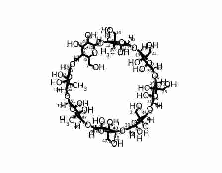 CC1O[C@@H]2O[C@@H]3C(CO)O[C@H](O[C@@H]4C(CO)O[C@H](O[C@@H]5C(CO)O[C@H](O[C@@H]6C(CO)O[C@H](O[C@@H]7C(CO)O[C@H](O[C@@H]8C(CO)O[C@H](O[C@@H]9C(C)O[C@H](O[C@H]1C(O)C2O)C(O)C9O)C(O)C8O)C(O)C7O)C(O)C6O)C(O)C5O)C(O)C4C)C(O)C3O